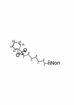 CCCCCCCCCCCCCCCCS(=O)(=O)c1cc[c]cc1